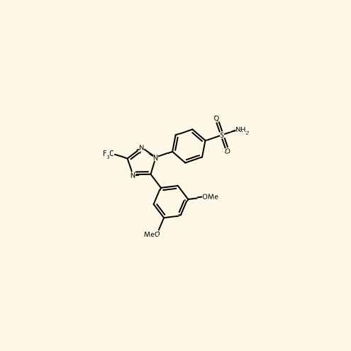 COc1cc(OC)cc(-c2nc(C(F)(F)F)nn2-c2ccc(S(N)(=O)=O)cc2)c1